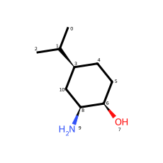 CC(C)[C@H]1CC[C@@H](O)[C@@H](N)C1